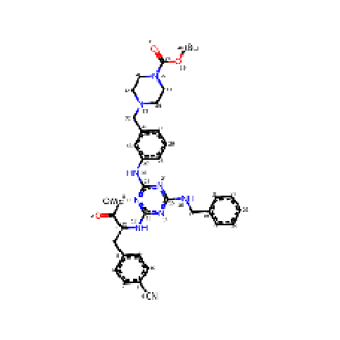 COC(=O)[C@H](Cc1ccc(C#N)cc1)Nc1nc(NCc2ccccc2)nc(Nc2cccc(CN3CCN(C(=O)OC(C)(C)C)CC3)c2)n1